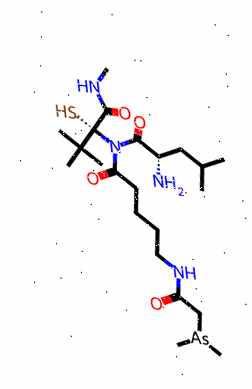 CNC(=O)[C@@](S)(N(C(=O)CCCCNC(=O)C[As](C)C)C(=O)[C@@H](N)CC(C)C)C(C)(C)C